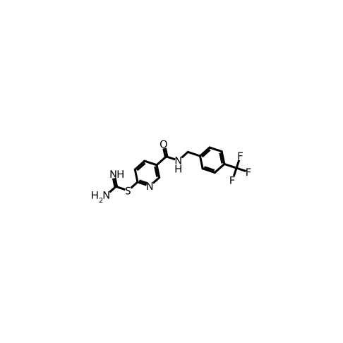 N=C(N)Sc1ccc(C(=O)NCc2ccc(C(F)(F)F)cc2)cn1